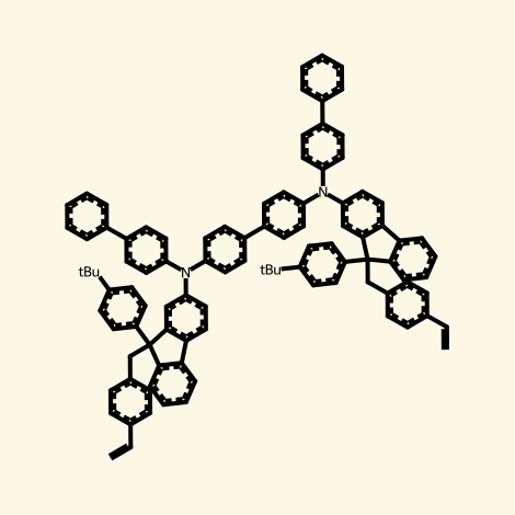 C=Cc1ccc(CC2(c3ccc(C(C)(C)C)cc3)c3ccccc3-c3ccc(N(c4ccc(-c5ccccc5)cc4)c4ccc(-c5ccc(N(c6ccc(-c7ccccc7)cc6)c6ccc7c(c6)C(Cc6ccc(C=C)cc6)(c6ccc(C(C)(C)C)cc6)c6ccccc6-7)cc5)cc4)cc32)cc1